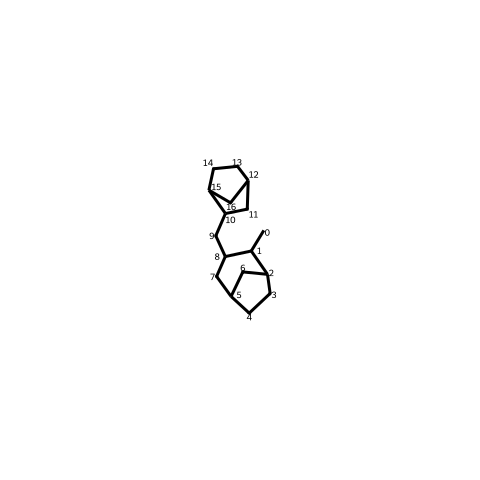 CC1C2CCC(C2)CC1CC1CC2CCC1C2